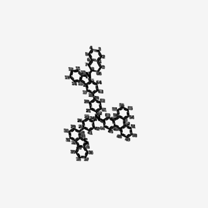 C1=c2ccccc2=CC(n2c3ccccc3c3cc(-c4ccc(N(c5ccc(-c6cccc7c6sc6ccccc67)cc5)c5ccc6c7ccccc7c7ccccc7c6c5)cc4)ccc32)C1